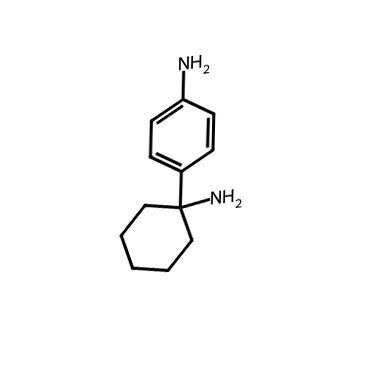 Nc1ccc(C2(N)CCCCC2)cc1